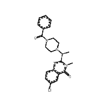 CC(c1nc2ccc(Cl)cc2c(=O)n1C)N1CCN(C(=O)c2ccccc2)CC1